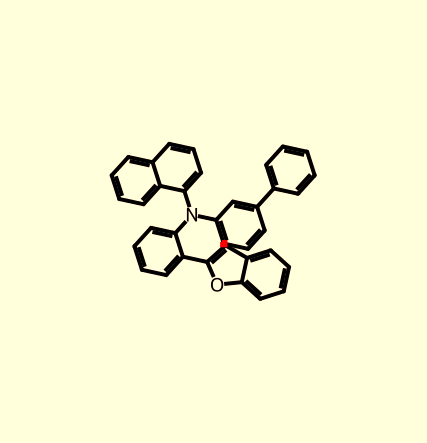 c1ccc(-c2cccc(N(c3ccccc3-c3cc4ccccc4o3)c3cccc4ccccc34)c2)cc1